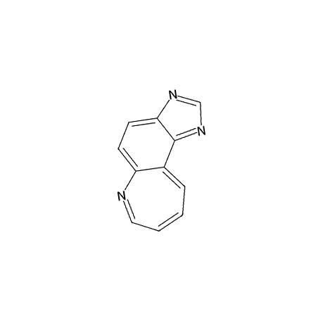 c1ccc2c(ccc3ncnc32)nc1